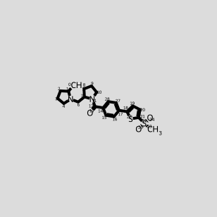 CC1CCCN1CC1CCCN1C(=O)c1ccc(-c2ccc(S(C)(=O)=O)s2)cc1